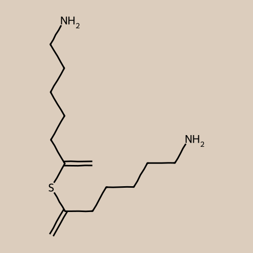 C=C(CCCCCN)SC(=C)CCCCCN